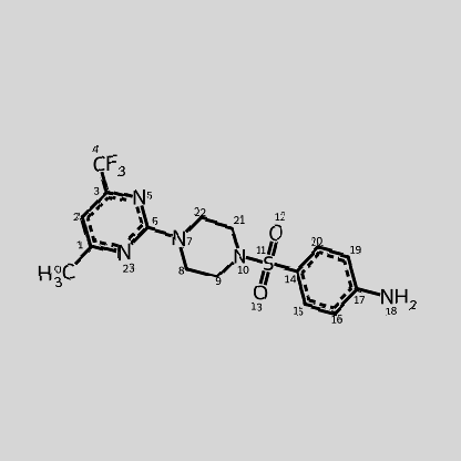 Cc1cc(C(F)(F)F)nc(N2CCN(S(=O)(=O)c3ccc(N)cc3)CC2)n1